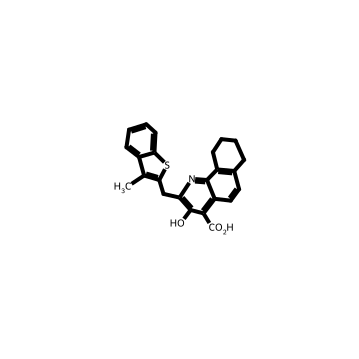 Cc1c(Cc2nc3c4c(ccc3c(C(=O)O)c2O)CCCC4)sc2ccccc12